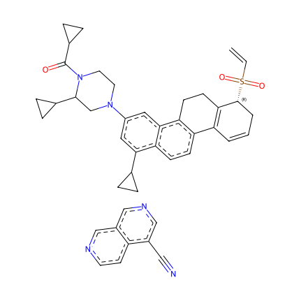 C=CS(=O)(=O)[C@@H]1CC=CC2=C1CCc1c2ccc2c(C3CC3)cc(N3CCN(C(=O)C4CC4)C(C4CC4)C3)cc12.N#Cc1cncc2cnccc12